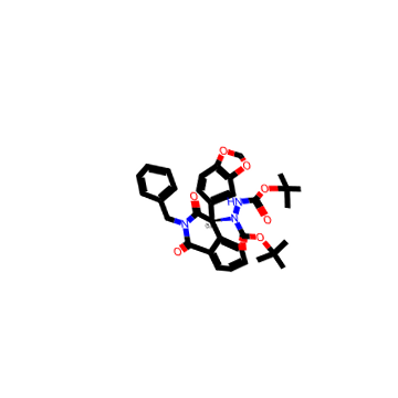 CC(C)(C)OC(=O)NN(C(=O)OC(C)(C)C)[C@]1(c2ccc3c(c2)OCO3)C(=O)N(Cc2ccccc2)C(=O)c2ccccc21